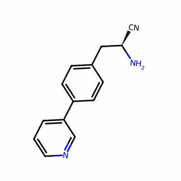 N#C[C@@H](N)Cc1ccc(-c2cccnc2)cc1